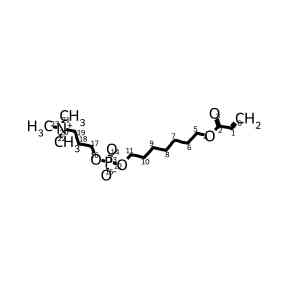 C=CC(=O)OCCCCCCCOP(=O)([O-])OCCC[N+](C)(C)C